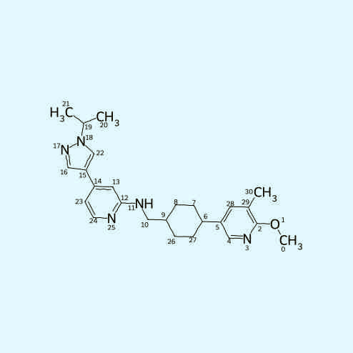 COc1ncc(C2CCC(CNc3cc(-c4cnn(C(C)C)c4)ccn3)CC2)cc1C